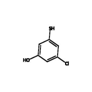 Oc1cc(S)cc(Cl)c1